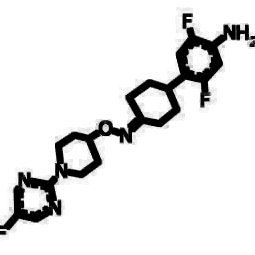 Nc1cc(F)c(C2CCC(=NOC3CCN(c4ncc(F)cn4)CC3)CC2)cc1F